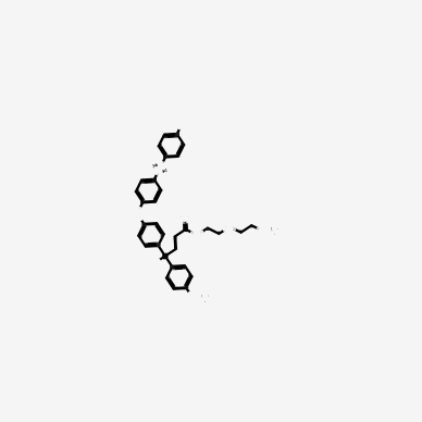 COCCOCCOC(=O)CCC(C)(c1ccc(OC)cc1)c1ccc(Oc2ccc(S(=O)(=O)c3ccc(C)cc3)cc2)cc1